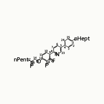 CCCCCCCc1ccc(-c2ccc(-c3ccc(OC[C@@H](F)CCCCC)c(F)c3F)nc2)cc1